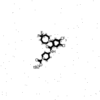 CC(C)(C)OC(=O)N1CCC(NC(=O)c2cc(Cl)c(C(F)(F)F)cc2N2CCCC(F)(F)CC2)CC1